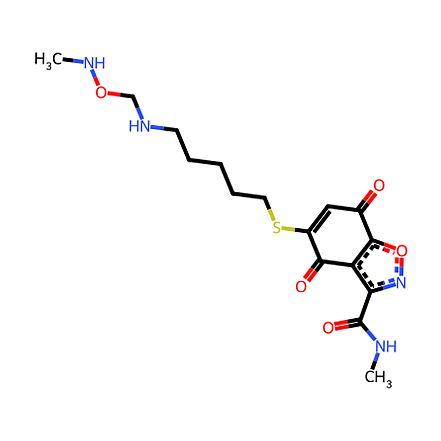 CNOCNCCCCCSC1=CC(=O)c2onc(C(=O)NC)c2C1=O